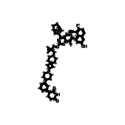 C#Cc1c(F)ccc2cc(O)cc(-c3ncc4c(N5CC6CCC(C5)N6)nc(OCC5(CN6CCC7(CC6)CC(N6CCC(c8cccc(C9CCC(=O)NC9=O)c8)CC6)C7)CC5)nc4c3F)c12